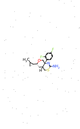 C[C@@H]1C[C@H]1[C@H]1C[C@H]2CSC(N)=N[C@@]2(c2ccc(F)cc2F)CO1